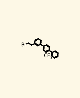 FC(F)(F)c1cc(-c2cccc(CCBr)c2)ccc1-c1ccccc1